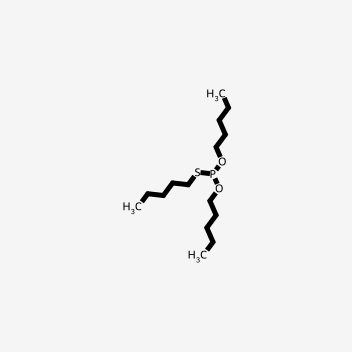 CCCCCOP(OCCCCC)SCCCCC